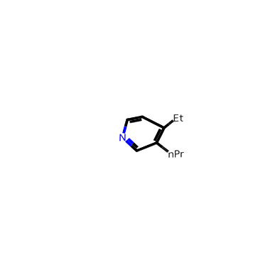 CCCc1cnccc1CC